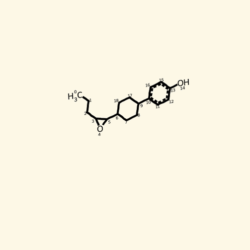 CCCC1OC1C1CCC(c2ccc(O)cc2)CC1